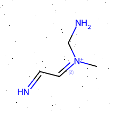 C/[N+](=C/C=N)CN